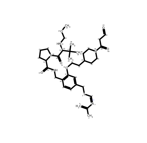 C=C(C)/N=C\SCc1ccc(CNC(=O)C2CCCN2C(=O)[C@@H](NCOC)C(C)(C)C)c(OCCC2CCN(C(=O)CC=O)CC2)c1